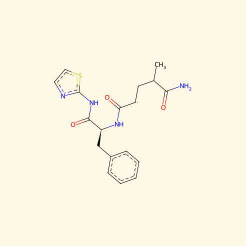 CC(C[CH]C(=O)N[C@@H](Cc1ccccc1)C(=O)Nc1nccs1)C(N)=O